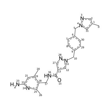 Cc1cnn(Cc2ccc(Cn3cc(C(=O)NCc4c(C)cc(N)nc4C)cn3)cc2)c1